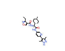 CCc1nocc1C(=O)N[C@H](C(=O)Nc1ccc(-c2c(C)n[nH]c2C)nc1)[C@H]1CC[C@H](C)CC1